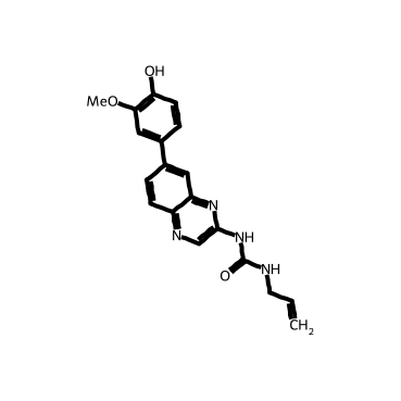 C=CCNC(=O)Nc1cnc2ccc(-c3ccc(O)c(OC)c3)cc2n1